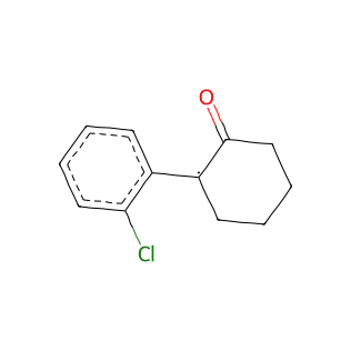 O=C1CCCC[C]1c1ccccc1Cl